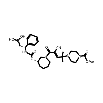 COC(=O)N1CCN(C(C)(C)C=C(C#N)C(=O)N2CCCC[C@H](OC(=O)N[C@H](CB(O)O)c3ccccc3)C2)CC1